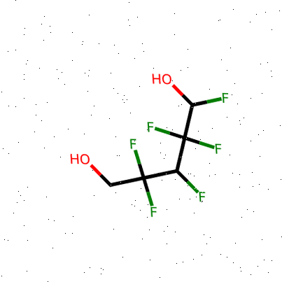 OCC(F)(F)C(F)C(F)(F)C(O)F